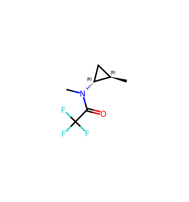 C[C@@H]1C[C@H]1N(C)C(=O)C(F)(F)F